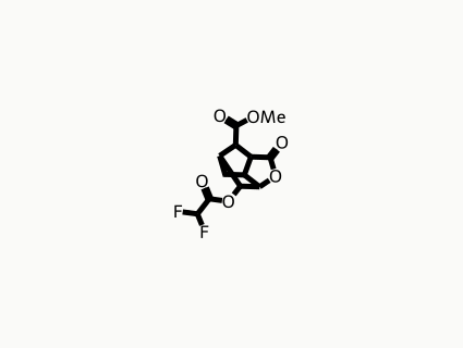 COC(=O)C1C2CC3C(OC(=O)C31)C2OC(=O)C(F)F